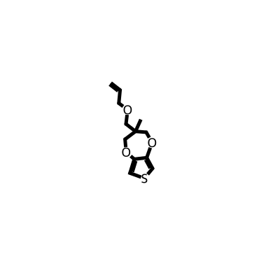 C=CCOCC1(C)COc2cscc2OC1